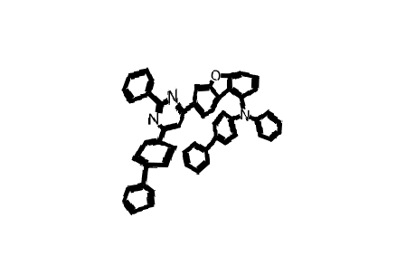 c1ccc(-c2ccc(-c3cc(-c4ccc5c(c4)oc4cccc(N(c6ccccc6)c6ccc(-c7ccccc7)cc6)c45)nc(-c4ccccc4)n3)cc2)cc1